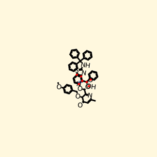 COc1ccc(COC2C(=O)C=C(C)N=C2C(O/N=C(\C(=O)O)c2csc(NC(c3ccccc3)(c3ccccc3)c3ccccc3)n2)OC(c2ccccc2)c2ccccc2)cc1